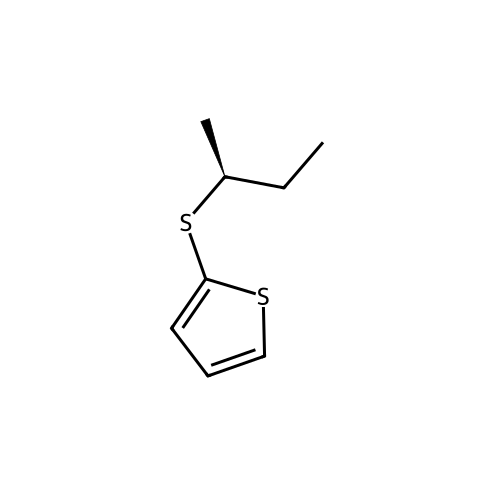 CC[C@H](C)Sc1cccs1